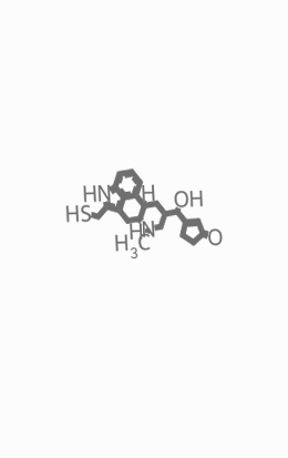 CN1CC(C(O)C2=CC(=O)CC2)C[C@@H]2c3cccc4[nH]c(CS)c(c34)C[C@H]21